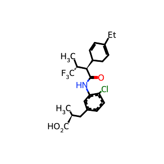 CCC1=CCC([C@@H](C(=O)Nc2cc(C[C@H](C)C(=O)O)ccc2Cl)[C@@H](C)C(F)(F)F)C=C1